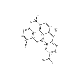 CN(C)c1ccc2cc3ccc(N(C)C)cc3[n+](Cc3ccccc3F)c2c1.[Br-]